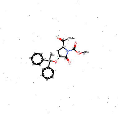 COC(=O)[C@@H]1C[C@@H](O[Si](c2ccccc2)(c2ccccc2)C(C)(C)C)C(=O)N1C(=O)OC(C)(C)C